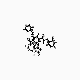 CC1=NO[C@@]2(CC[C@H](C)N3C[C@H]2n2cc(C(=O)NCc4ccc(F)cc4F)c(=O)c(OCc4ccccc4)c2C3=O)[C@H]1C